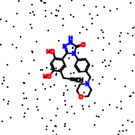 C#CCc1cc(-c2n[nH]c(=O)n2-c2ccc(CN3CCOCC3)cc2)c(O)cc1O